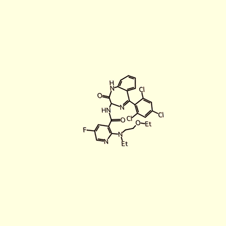 CCOCCN(CC)c1ncc(F)cc1C(=O)NC1N=C(c2c(Cl)cc(Cl)cc2Cl)c2ccccc2NC1=O